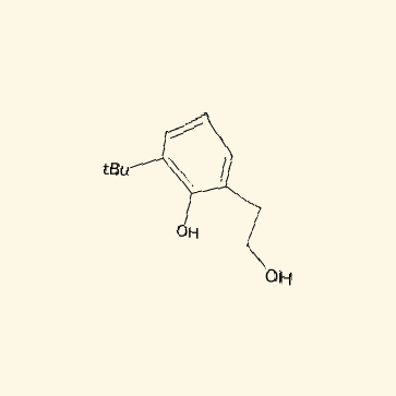 CC(C)(C)c1cccc(CCO)c1O